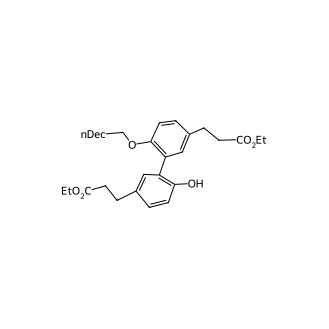 CCCCCCCCCCCOc1ccc(CCC(=O)OCC)cc1-c1cc(CCC(=O)OCC)ccc1O